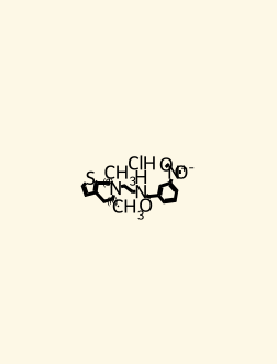 C[C@@H]1Cc2ccsc2[C@H](C)N1CCNC(=O)c1cccc([N+](=O)[O-])c1.Cl